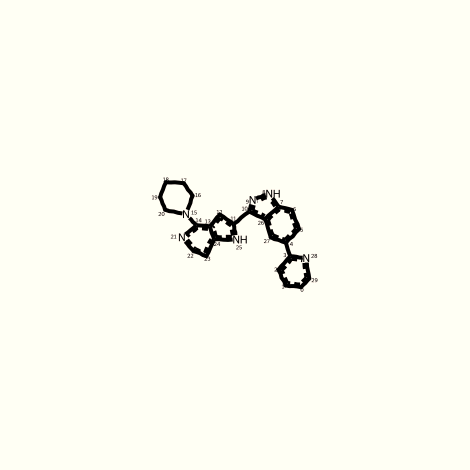 c1ccc(-c2ccc3[nH]nc(-c4cc5c(N6CCCCC6)nccc5[nH]4)c3c2)nc1